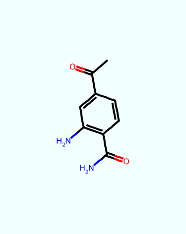 CC(=O)c1ccc(C(N)=O)c(N)c1